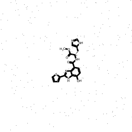 COC(=O)[C@H](Cc1cnc[nH]1)NC(=O)c1ccc(O)c2[nH]c(-c3cccs3)nc12